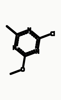 COc1nc(C)nc(Cl)n1